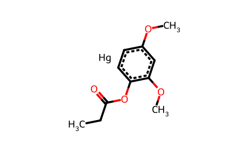 CCC(=O)Oc1ccc(OC)cc1OC.[Hg]